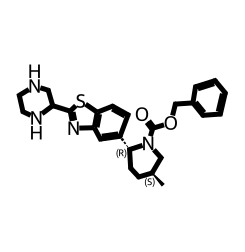 C[C@H]1CC[C@H](c2ccc3sc(C4CNCCN4)nc3c2)N(C(=O)OCc2ccccc2)C1